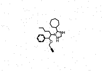 C#CCOC(c1ccccc1)C(CCCC)N1NCNC1C1CCCCCC1